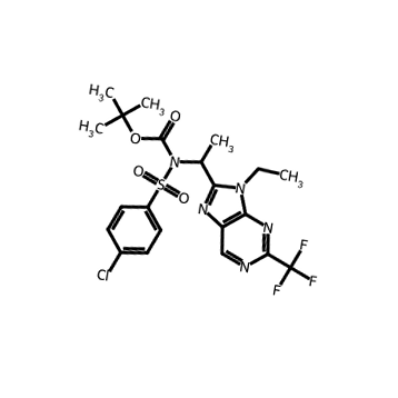 CCn1c(C(C)N(C(=O)OC(C)(C)C)S(=O)(=O)c2ccc(Cl)cc2)nc2cnc(C(F)(F)F)nc21